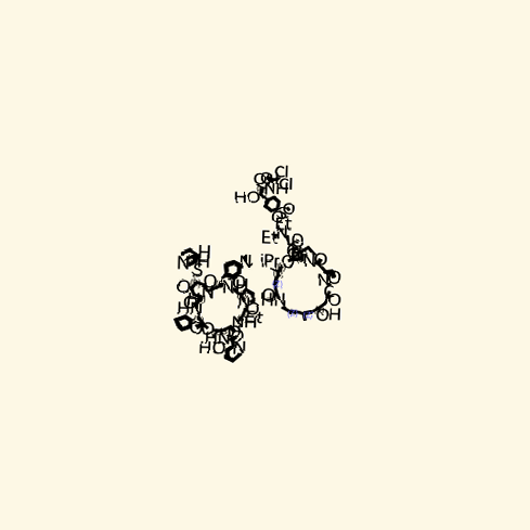 CCN(CC)CCS(=O)(=O)[C@@H]1CCN2C(=O)c3coc(n3)CC(=O)C[C@H](O)/C=C(C)\C=C/CNC(=O)/C=C\[C@@H](C)[C@@H](C(C)C)OC(=O)[C@@H]12.CC[C@@H]1NC(=O)[C@@H](NC(=O)c2ncccc2O)[C@@H](C)OC(=O)[C@H](c2ccccc2)NC(=O)[C@@H]2CC(=O)[C@H](CS[C@@H]3C[N@]4CC[C@H]3CC4)CN2C(=O)[C@H](Cc2ccc(N(C)C)cc2)N(C)C(=O)[C@@H]2CCCN2C1=O.CS(=O)(=O)c1ccc([C@@H](O)[C@@H](CO)NC(=O)C(Cl)Cl)cc1